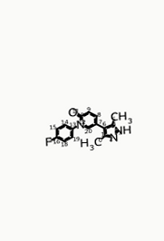 Cc1n[nH]c(C)c1-c1ccc(=O)n(-c2ccc(F)cc2)c1